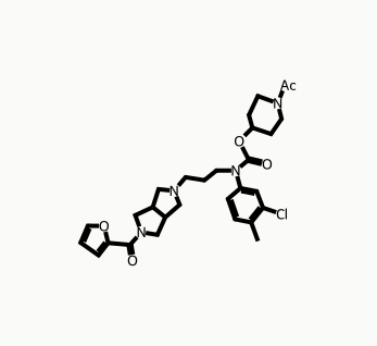 CC(=O)N1CCC(OC(=O)N(CCCN2CC3CN(C(=O)c4ccco4)CC3C2)c2ccc(C)c(Cl)c2)CC1